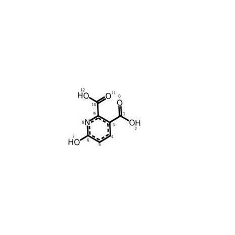 O=C(O)c1ccc(O)nc1C(=O)O